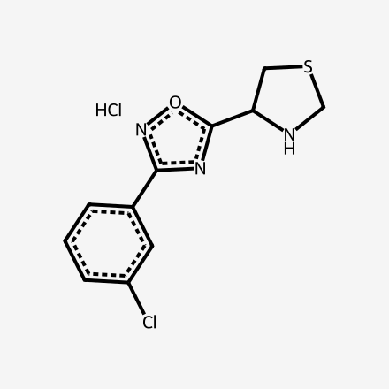 Cl.Clc1cccc(-c2noc(C3CSCN3)n2)c1